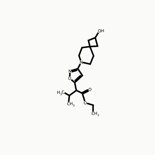 CCOC(=O)C(c1cc(N2CCC3(CC2)CC(O)C3)no1)C(C)C